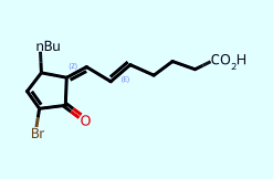 CCCCC1C=C(Br)C(=O)/C1=C\C=C\CCCC(=O)O